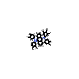 CC1=CC(N(c2ccc(C)c(C)c2)c2c3ccccc3c(N(c3ccc(C)c(C)c3)c3ccc(C)c(C)c3)c3ccccc23)=CC(C)C1C